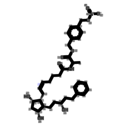 CC(NC(=O)CCC/C=C\C[C@@H]1[C@@H](CC[C@@H](O)CCc2ccccc2)[C@H](O)C[C@@H]1O)C(=O)OCc1ccc(CO[N+](=O)[O-])cc1